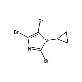 Brc1nc(Br)n(C2CC2)c1Br